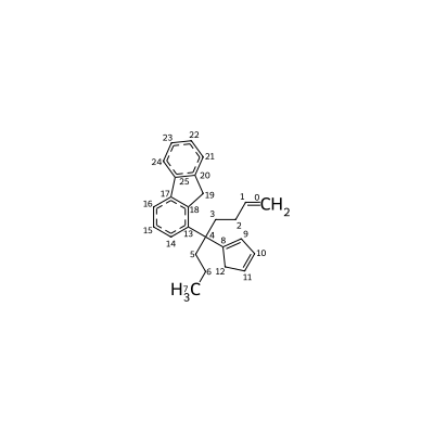 C=CCCC(CCC)(C1=CC=CC1)c1cccc2c1Cc1ccccc1-2